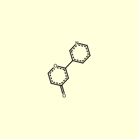 O=c1ccoc(-c2cccnc2)c1